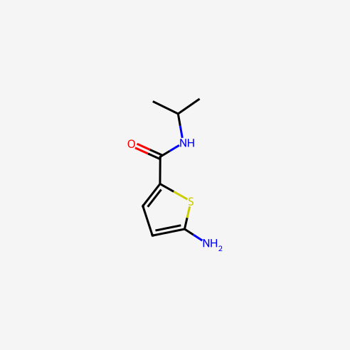 CC(C)NC(=O)c1ccc(N)s1